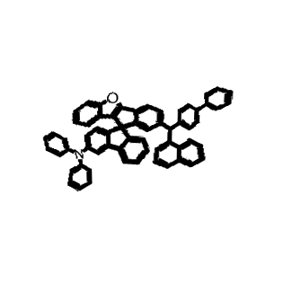 c1ccc(-c2ccc(C(c3ccc4c(c3)C3(c5ccccc5-c5cc(N(c6ccccc6)c6ccccc6)ccc53)c3c-4oc4ccccc34)c3cccc4ccccc34)cc2)cc1